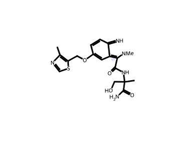 CN/C(C(=O)NC(C)(CO)C(N)=O)=C1/C=C(OCc2scnc2C)C=CC1=N